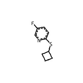 Fc1ccc(SC2CCC2)nc1